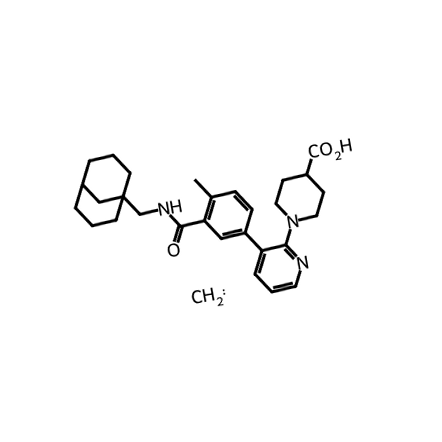 Cc1ccc(-c2cccnc2N2CCC(C(=O)O)CC2)cc1C(=O)NCC12CCCC(CCC1)C2.[CH2]